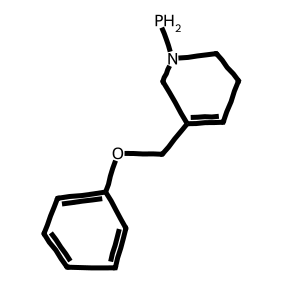 PN1CCC=C(COc2ccccc2)C1